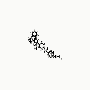 Nc1ncc(COC2CCC(C(O)CC3c4ccccc4-c4cncn43)CC2)cn1